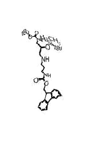 CC(C)(C)OC(=O)NCC(CNCCCNC(=O)OCC1c2ccccc2-c2ccccc21)O[Si](C)(C)C(C)(C)C